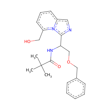 CC(C)(C)C(=O)NC(COCc1ccccc1)c1ncc2cccc(CO)n12